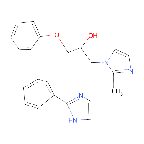 Cc1nccn1CC(O)COc1ccccc1.c1ccc(-c2ncc[nH]2)cc1